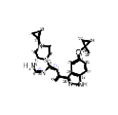 C=C(/C=C(\N=C/N)N1CCN(C2CC2)CC1)c1n[nH]c2ccc(OC3(C)CC3)cc12